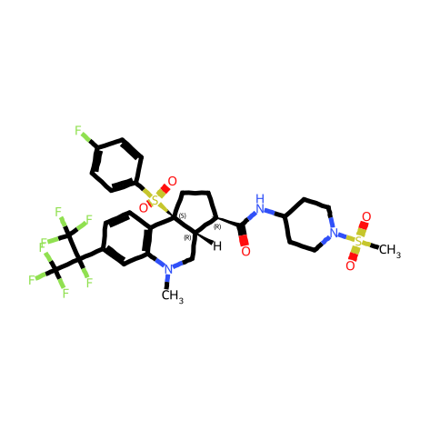 CN1C[C@H]2[C@H](C(=O)NC3CCN(S(C)(=O)=O)CC3)CC[C@@]2(S(=O)(=O)c2ccc(F)cc2)c2ccc(C(F)(C(F)(F)F)C(F)(F)F)cc21